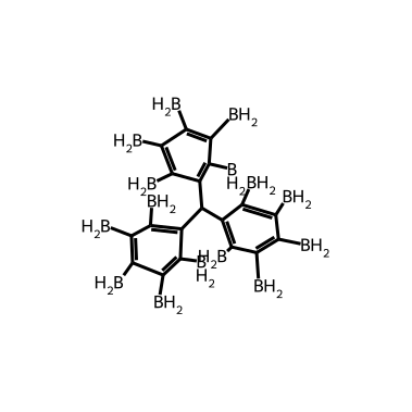 Bc1c(B)c(B)c(C(c2c(B)c(B)c(B)c(B)c2B)c2c(B)c(B)c(B)c(B)c2B)c(B)c1B